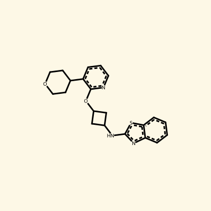 c1cnc(OC2CC(Nc3nc4ccccc4s3)C2)c(C2CCOCC2)c1